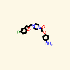 N[C@H]1CC[C@H](OCC(=O)N2CCN(Cc3cc4cc(F)ccc4o3)CC2)CC1